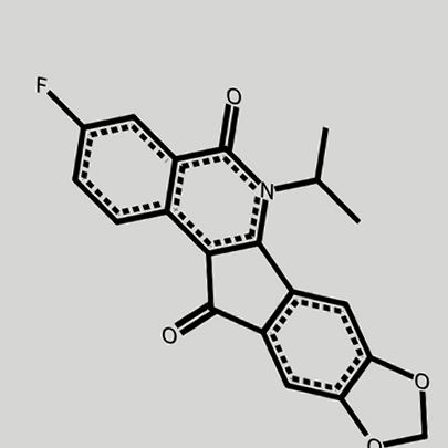 CC(C)n1c2c(c3ccc(F)cc3c1=O)C(=O)c1cc3c(cc1-2)OCO3